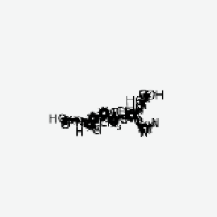 Cc1c(COc2cc(OCc3cncc(C#N)c3)c(CNCC(O)CC(=O)O)cc2Cl)cccc1-c1cccc(-c2ccc3c(CNCCCC(=O)O)ccc(Cl)c3c2)c1C